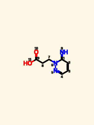 N=c1cccnn1CCC(=O)O